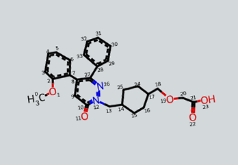 COc1ccccc1-c1cc(=O)n(CC2CCC(COCC(=O)O)CC2)nc1-c1ccccc1